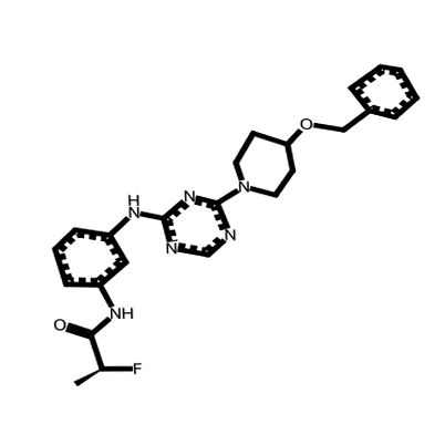 C[C@H](F)C(=O)Nc1cccc(Nc2ncnc(N3CCC(OCc4ccccc4)CC3)n2)c1